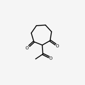 CC(=O)C1C(=O)CCCCC1=O